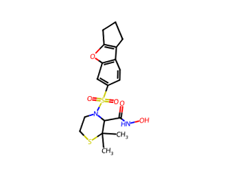 CC1(C)SCCN(S(=O)(=O)c2ccc3c4c(oc3c2)CCC4)C1C(=O)NO